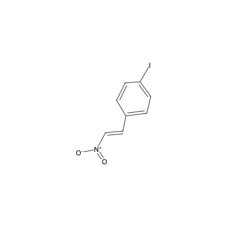 O=[N+]([O-])/C=C/c1ccc(I)cc1